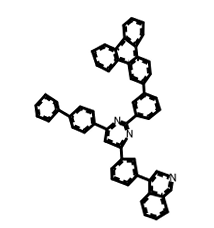 c1ccc(-c2ccc(-c3cc(-c4cccc(-c5cncc6ccccc56)c4)nc(-c4cccc(-c5ccc6c7ccccc7c7ccccc7c6c5)c4)n3)cc2)cc1